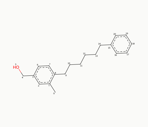 Cc1cc(CO)ccc1CCCCCCc1ccccc1